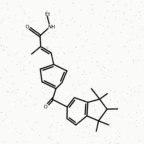 CCNC(=O)/C(C)=C/c1ccc(C(=O)c2ccc3c(c2)C(C)(C)C(C)C3(C)C)cc1